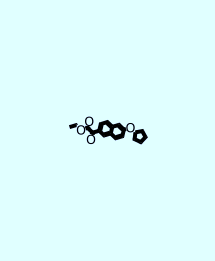 CCOC(=O)C(=O)c1ccc2cc(OC3CCCC3)ccc2c1